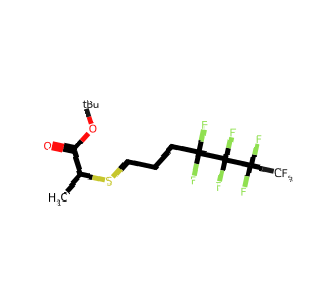 CC(SCCCC(F)(F)C(F)(F)C(F)(F)C(F)(F)F)C(=O)OC(C)(C)C